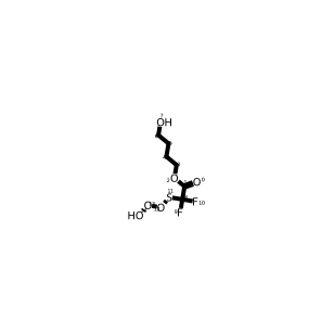 O=C(OCCCCO)C(F)(F)SOOO